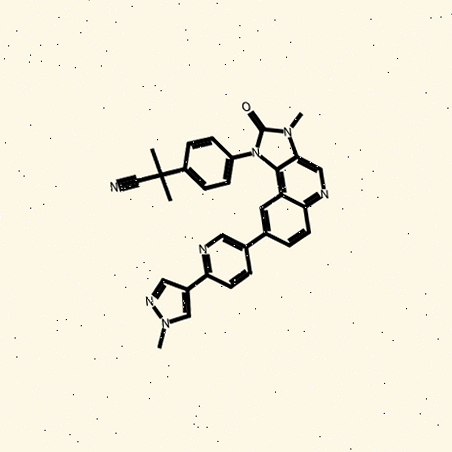 Cn1cc(-c2ccc(-c3ccc4ncc5c(c4c3)n(-c3ccc(C(C)(C)C#N)cc3)c(=O)n5C)cn2)cn1